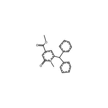 COC(=O)c1cc(C(c2ccccc2)c2ccccc2)n(C)c(=O)c1